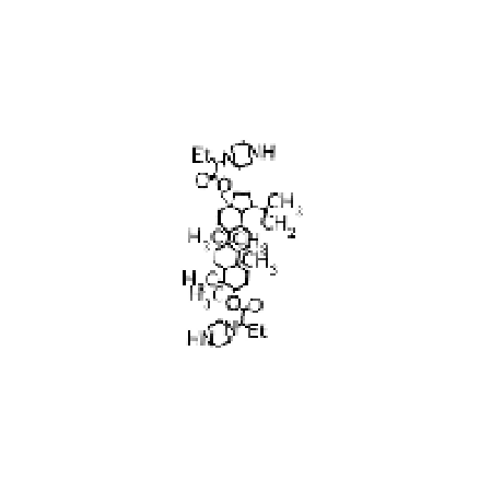 C=C(C)[C@@H]1CC[C@]2(COC(=O)C(CC)N3CCNCC3)CC[C@]3(C)C(CCC4[C@@]5(C)CC[C@H](OC(=O)C(CC)N6CCNCC6)C(C)(C)C5CC[C@]43C)C12